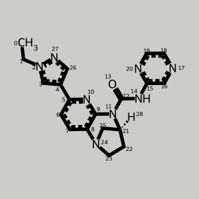 CCn1cc(-c2ccc3c(n2)N(C(=O)Nc2cnccn2)[C@H]2CCN3C2)cn1